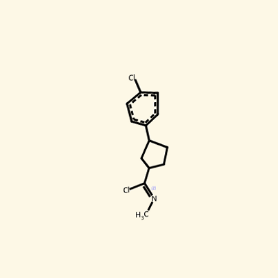 C/N=C(\Cl)C1CCC(c2ccc(Cl)cc2)C1